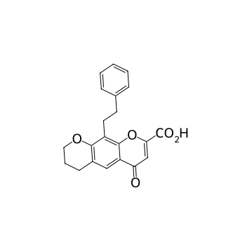 O=C(O)c1cc(=O)c2cc3c(c(CCc4ccccc4)c2o1)OCCC3